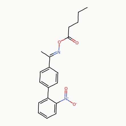 CCCCC(=O)O/N=C(\C)c1ccc(-c2ccccc2[N+](=O)[O-])cc1